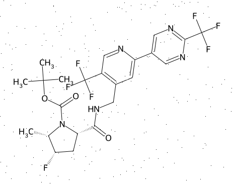 C[C@H]1[C@@H](F)C[C@@H](C(=O)NCc2cc(-c3cnc(C(F)(F)F)nc3)ncc2C(F)(F)F)N1C(=O)OC(C)(C)C